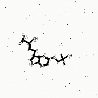 CC(C)(O)COc1cnc2[nH]cc(C/C=C(\C#N)C(N)=O)c2n1